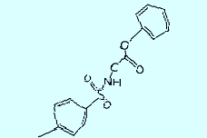 Cc1ccc(S(=O)(=O)NCC(=O)Oc2ccccc2)cc1